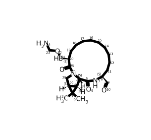 CC1(C)[C@@H]2[C@H]3C(=O)N[C@H](C=O)CCCCCCCCC[C@H](BOCN)C(=O)N3C[C@@H]21